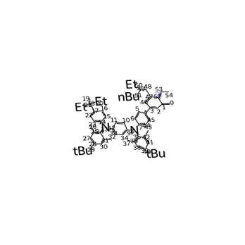 C=c1cc(-c2ccc(N(c3ccc(N(c4ccc(C(C)(CC)CC)cc4)c4c(C)cc(C(C)(C)C)cc4C)cc3)c3c(C)cc(C(C)(C)C)cc3C)cc2)cc(CC(CC)CCCC)/c1=C/C